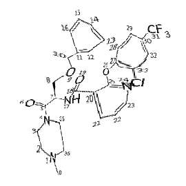 CN1CCN(C(=O)[C@@H](COCc2ccccc2)NC(=O)c2cccnc2Oc2ccc(C(F)(F)F)cc2Cl)CC1